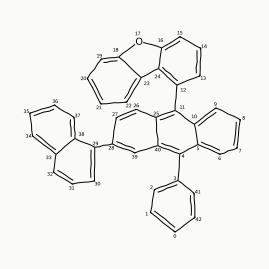 c1ccc(-c2c3ccccc3c(-c3cccc4oc5ccccc5c34)c3ccc(-c4cccc5ccccc45)cc23)cc1